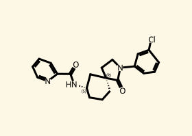 O=C(N[C@H]1CCC[C@@]2(CCN(c3cccc(Cl)c3)C2=O)C1)c1ccccn1